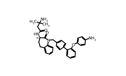 CC(C)(N)CC(=O)N[C@@H]1CCc2ccccc2N(Cc2ccc(-c3ccccc3Oc3ccc(N)cc3)cc2)C1=O